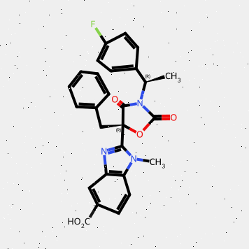 C[C@H](c1ccc(F)cc1)N1C(=O)O[C@](Cc2ccccc2)(c2nc3cc(C(=O)O)ccc3n2C)C1=O